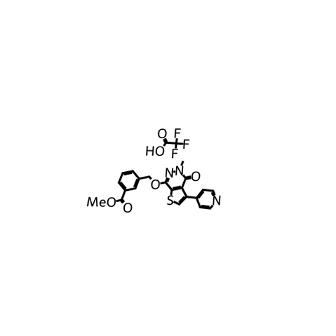 COC(=O)c1cccc(COc2nn(C)c(=O)c3c(-c4ccncc4)csc23)c1.O=C(O)C(F)(F)F